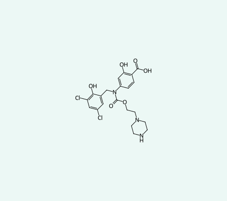 O=C(O)c1ccc(N(Cc2cc(Cl)cc(Cl)c2O)C(=O)OCCN2CCNCC2)cc1O